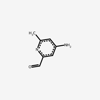 Cc1cc(N)cc(C=O)n1